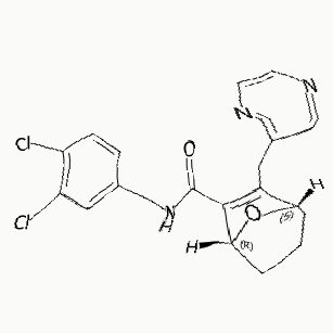 O=C(Nc1ccc(Cl)c(Cl)c1)C1=C(c2cnccn2)[C@@H]2CC[C@H]1O2